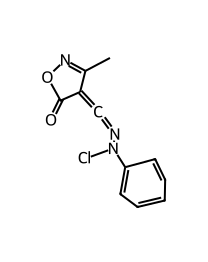 CC1=NOC(=O)C1=C=NN(Cl)c1ccccc1